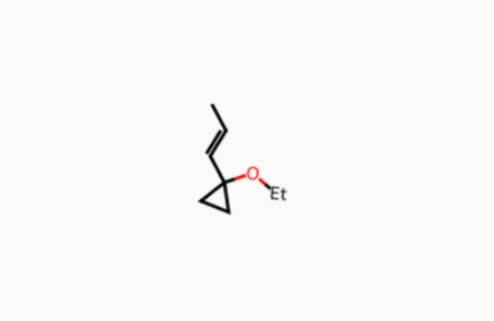 CC=CC1(OCC)CC1